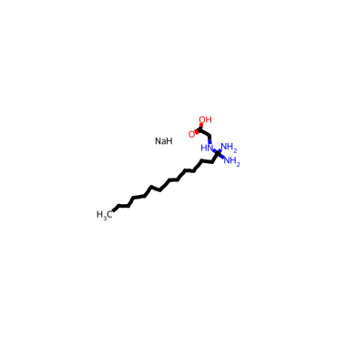 CCCCCCCCCCCCCC(N)(N)NCC(=O)O.[NaH]